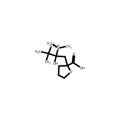 C[SiH](C)C(O)(CC1(C(=O)O)CCCO1)C(C)(C)C